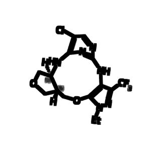 CCn1nc(C(F)(F)F)c2c1OC[C@@H]1COC[C@H]1Nc1nc(ncc1Cl)N2